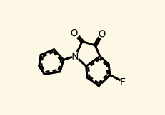 O=C1C(=O)N(c2ccccc2)c2ccc(F)cc21